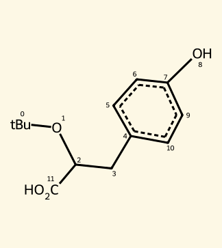 CC(C)(C)OC(Cc1ccc(O)cc1)C(=O)O